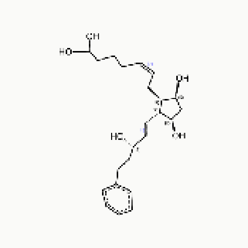 OC(O)CCC/C=C\C[C@@H]1[C@@H](/C=C/[C@@H](O)CCc2ccccc2)[C@H](O)C[C@@H]1O